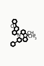 CC1(C)c2ccccc2-c2c(N(c3cccc(-c4ccccc4)c3)c3cccc4c3ccc3c5ccccc5oc43)cccc21